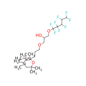 CC1(C)C[Si](C)(C)[Si](C)(C)[Si](C)(CCCOCC(O)COC(F)(F)C(F)(F)C(F)C(F)C(F)F)O1